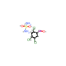 NS(N)(=O)=O.O=Ic1cc(Cl)c(Cl)cc1Cl